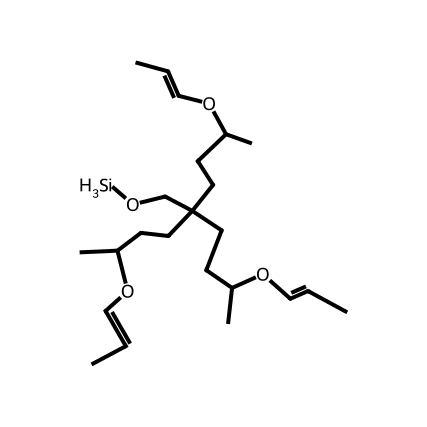 CC=COC(C)CCC(CCC(C)OC=CC)(CCC(C)OC=CC)CO[SiH3]